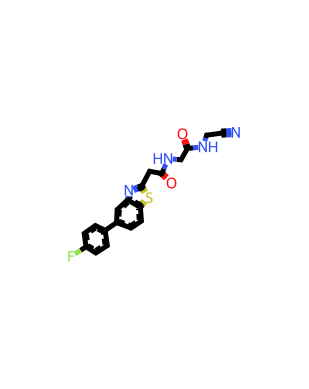 N#CCNC(=O)CNC(=O)Cc1nc2cc(-c3ccc(F)cc3)ccc2s1